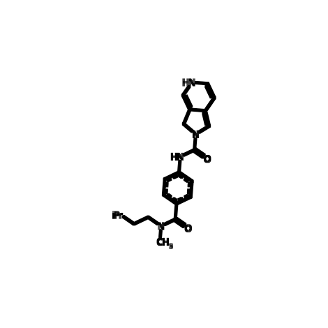 CC(C)CCN(C)C(=O)c1ccc(NC(=O)N2C=C3C=CNC=C3C2)cc1